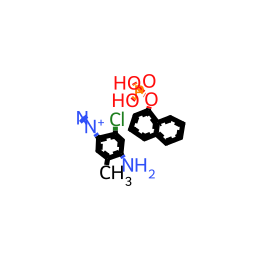 Cc1cc([N+]#N)c(Cl)cc1N.O=P(O)(O)Oc1cccc2ccccc12